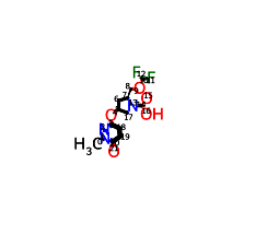 Cn1nc(O[C@H]2C[C@@H](COC(F)F)N(C(=O)O)C2)ccc1=O